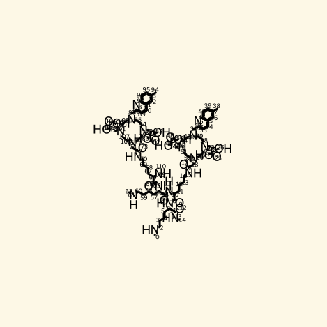 CNCCCCC(NC(=O)C(CCCCNC(=O)CN1CCN(CP(=O)(O)O)CCN(Cc2ccc3cc(C)ccc3n2)CCN(CP(=O)(O)O)CC1)NC(=O)C(CCCCNC)NC(=O)C(CCCCNC(=O)CN1CCN(CP(=O)(O)O)CCN(Cc2ccc3cc(C)ccc3n2)CCN(CP(=O)(O)O)CC1)NC)C(=O)NC